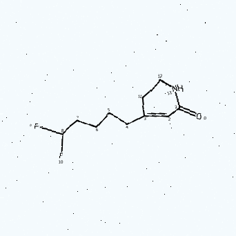 O=C1C=C(CCCCC(F)F)CCN1